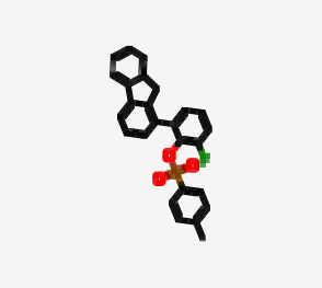 Cc1ccc(S(=O)(=O)Oc2c(F)cccc2-c2cccc3c2Cc2ccccc2-3)cc1